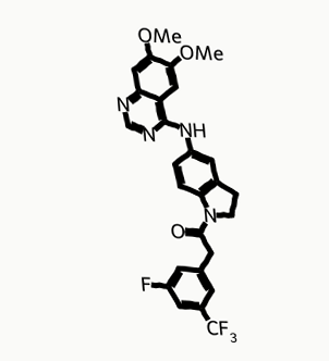 COc1cc2ncnc(Nc3ccc4c(c3)CCN4C(=O)Cc3cc(F)cc(C(F)(F)F)c3)c2cc1OC